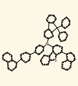 c1ccc(C2(c3ccccc3)c3ccccc3-c3ccc(N(c4ccc(-c5ccc(-c6cccc7ccccc67)cc5)cc4)c4ccc(-c5cccc6ccccc56)c5sc6ccccc6c45)cc32)cc1